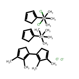 CC1=CCC(C2=C(C)C(C)=CC2)=C1C.[CH3][Zr+2]([CH3])([CH3])([CH3])[C]1=CC=CC1.[CH3][Zr]([CH3])([CH3])([Cl])([Cl])[C]1=CC=CC1.[Cl-].[Cl-]